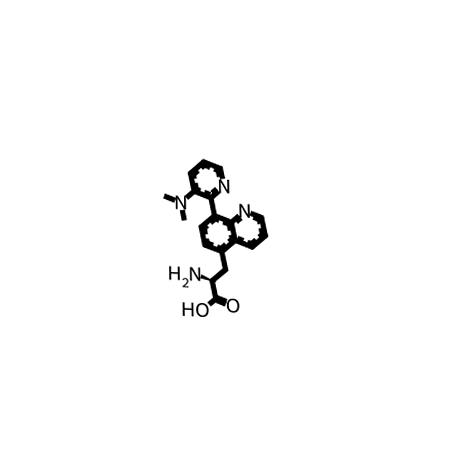 CN(C)c1cccnc1-c1ccc(C[C@H](N)C(=O)O)c2cccnc12